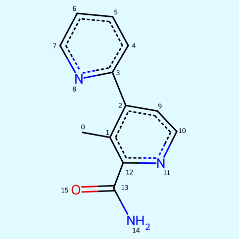 Cc1c(-c2ccccn2)ccnc1C(N)=O